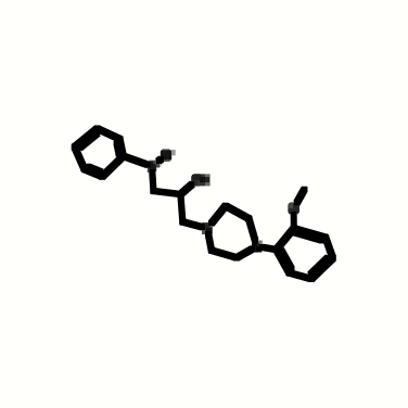 COc1ccccc1N1CCN(CC(O)C[S+]([O-])c2ccccc2)CC1